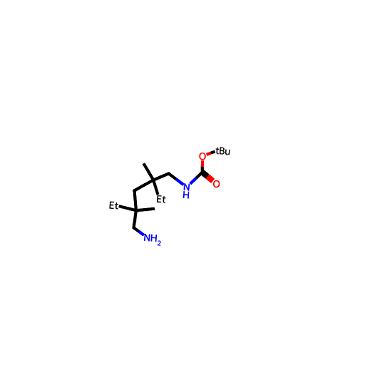 CCC(C)(CN)CC(C)(CC)CNC(=O)OC(C)(C)C